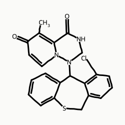 Cc1c2n(ccc1=O)N(C1c3ccccc3SCc3cccc(Cl)c31)CNC2=O